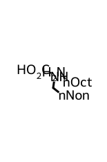 CCCCCCCCCCNC(=O)O.CCCCCCCCN